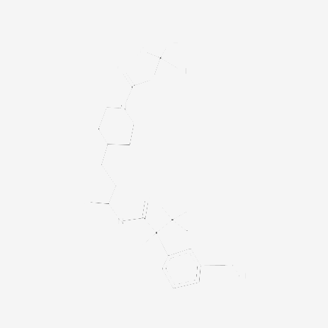 COc1cccc(C(O)(C(=O)NC(C)CCC2CCN(C(=O)OC(C)(C)C)CC2)C(F)(F)F)c1